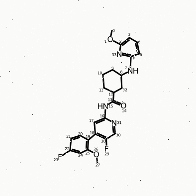 COc1cccc(NC2CCCC(C(=O)Nc3cc(-c4ccc(F)cc4OC)c(F)cn3)C2)n1